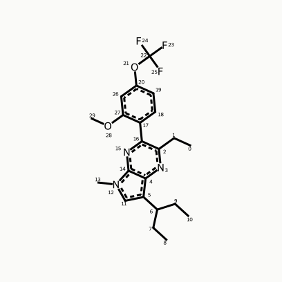 CCc1nc2c(C(CC)CC)cn(C)c2nc1-c1ccc(OC(F)(F)F)cc1OC